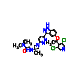 C[C@@H](Oc1ccc2[nH]nc(-c3ccc(N4CC(C)(NCC(=O)N(C)C)C4)nn3)c2c1)c1c(Cl)cncc1Cl